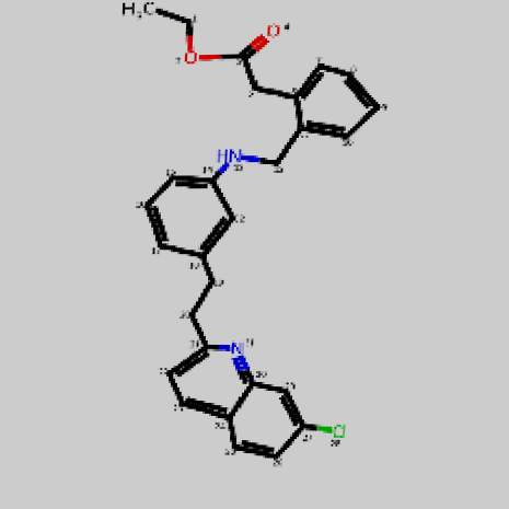 CCOC(=O)Cc1ccccc1CNc1cccc(CCc2ccc3ccc(Cl)cc3n2)c1